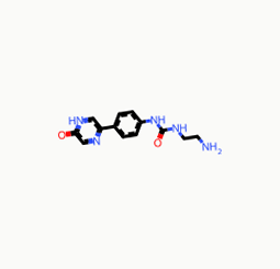 NCCNC(=O)Nc1ccc(-c2c[nH]c(=O)cn2)cc1